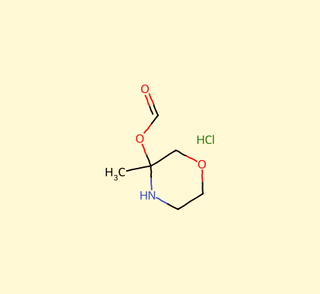 CC1(OC=O)COCCN1.Cl